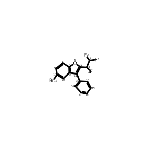 FC(F)C(F)c1oc2ccc(Br)cc2c1-c1ccccc1